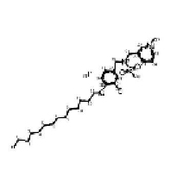 CCCCCCCCCCCCCCOc1ccc(CN(Cc2ccc[n+](C)c2)S(C)(=O)=O)cc1Cl.[I-]